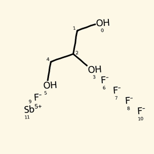 OCC(O)CO.[F-].[F-].[F-].[F-].[F-].[Sb+5]